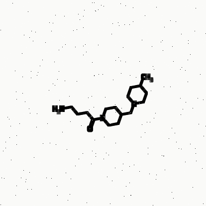 CC1CCN(CC2CCN(C(=O)CCCN)CC2)CC1